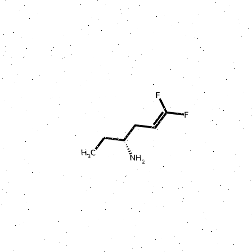 CC[C@@H](N)CC=C(F)F